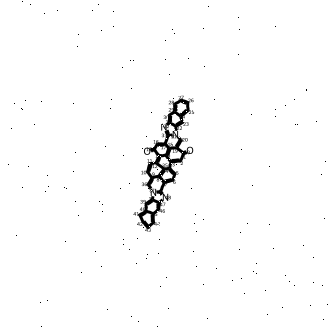 O=c1cc2c3ccc4c5c(ccc(c6c(=O)cc7c(c1cn1c8cc9ccccc9cc8nc71)c26)c35)cn1c2cc3ccccc3cc2nc41